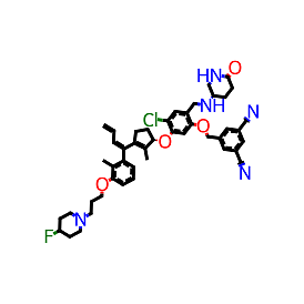 C=C/C=C(\C1=C(C)[C@@H](Oc2cc(OCc3cc(C#N)cc(C#N)c3)c(CN[C@@H]3CCC(=O)NC3)cc2Cl)CC1)c1cccc(OCCCN2CCC(F)CC2)c1C